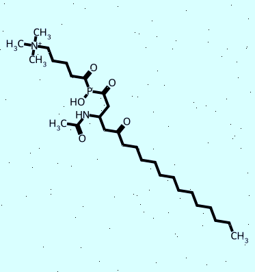 CCCCCCCCCCCCCC(=O)CC(CC(=O)P(O)C(=O)CCCC[N+](C)(C)C)NC(C)=O